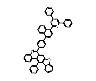 c1ccc(-c2cc(-c3ccccc3)nc(-c3ccc(-c4ccc(-c5nc6ccccc6c6c(-c7ccccc7)c7c(cc56)oc5ccccc57)cc4)c4ccccc34)n2)cc1